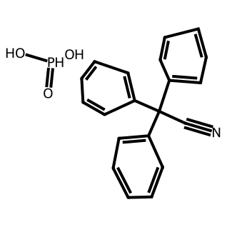 N#CC(c1ccccc1)(c1ccccc1)c1ccccc1.O=[PH](O)O